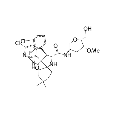 CO[C@@H]1C[C@@H](NC(=O)[C@@H]2NC3(CCC(C)(C)CC3)[C@@]3(C(=O)Nc4nc(Cl)ccc43)[C@H]2c2cccc(Cl)c2F)CO[C@@H]1CO